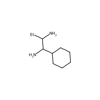 CCC(N)C(N)C1CCCCC1